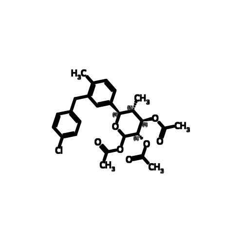 CC(=O)OC1O[C@@H](c2ccc(C)c(Cc3ccc(Cl)cc3)c2)[C@H](C)[C@@H](OC(C)=O)[C@@H]1OC(C)=O